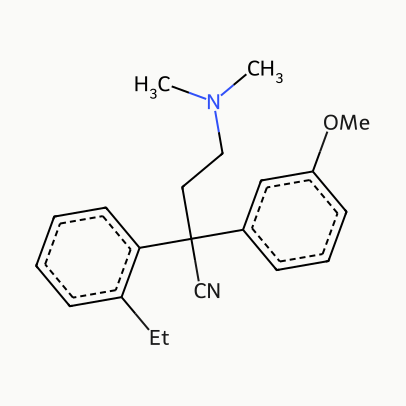 CCc1ccccc1C(C#N)(CCN(C)C)c1cccc(OC)c1